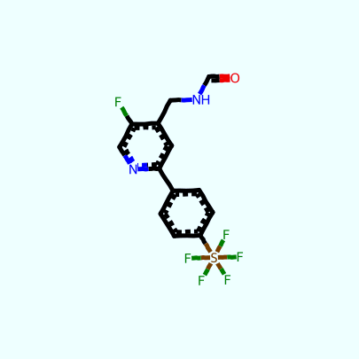 O=CNCc1cc(-c2ccc(S(F)(F)(F)(F)F)cc2)ncc1F